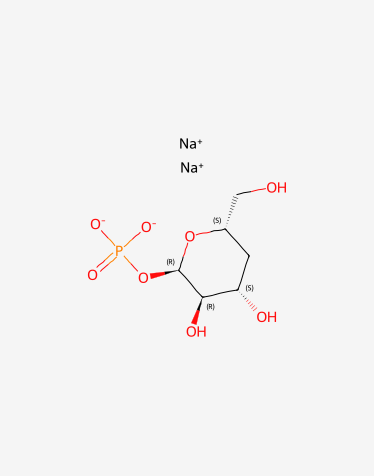 O=P([O-])([O-])O[C@H]1O[C@H](CO)C[C@H](O)[C@H]1O.[Na+].[Na+]